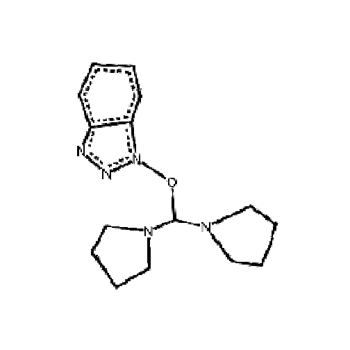 c1ccc2c(c1)nnn2OC(N1CCCC1)N1CCCC1